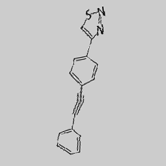 C(#Cc1ccc(-c2csnn2)cc1)c1ccccc1